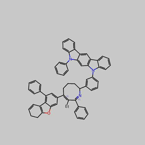 CCC1=C(\c2cc(-c3ccccc3)c3c4c(oc3c2)CCC=C4)CCCC(c2cccc(-n3c4ccccc4c4cc5c6ccccc6n(-c6ccccc6)c5cc43)c2)/N=C\1c1ccccc1